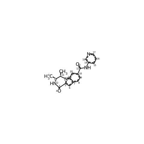 C[C@@H]1NC(=O)c2cc3ccc(C(=O)Nc4cccnc4)cc3n2[C@@H]1C